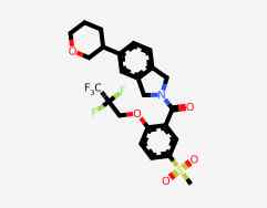 CS(=O)(=O)c1ccc(OCC(F)(F)C(F)(F)F)c(C(=O)N2Cc3ccc(C4CCCOC4)cc3C2)c1